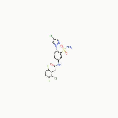 NS(=O)(=O)c1cc(NC(=O)Cc2c(F)ccc(F)c2Cl)ccc1-n1cc(Cl)cn1